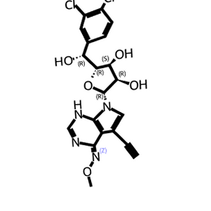 C#Cc1cn([C@@H]2O[C@H]([C@H](O)c3ccc(Cl)c(Cl)c3)[C@@H](O)[C@H]2O)c2[nH]cn/c(=N\OC)c12